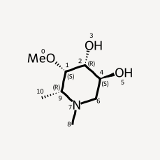 CO[C@@H]1[C@H](O)[C@@H](O)CN(C)[C@@H]1C